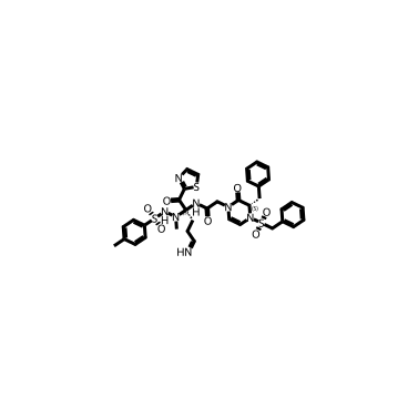 Cc1ccc(S(=O)(=O)NN(C)[C@](CCC=N)(NC(=O)CN2C=CN(S(=O)(=O)Cc3ccccc3)[C@@H](Cc3ccccc3)C2=O)C(=O)c2nccs2)cc1